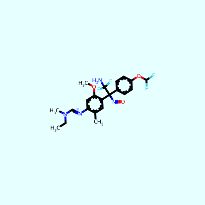 CCN(C)/C=N/c1cc(OC)c(C(N=O)(c2ccc(OC(F)F)cc2)C(N)(F)F)cc1C